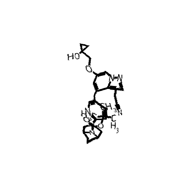 CC(C)(C)OC(=O)N1C2CC1CN(c1ccc(-c3cc(OCC4(O)CC4)cn4ncc(C#N)c34)cn1)C2